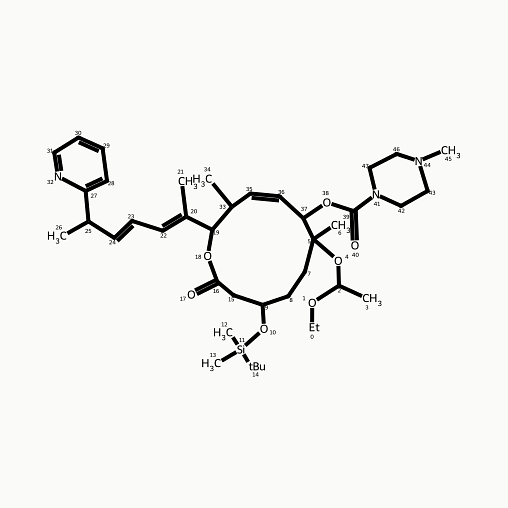 CCOC(C)OC1(C)CCC(O[Si](C)(C)C(C)(C)C)CC(=O)OC(C(C)=CC=CC(C)c2ccccn2)C(C)C=CC1OC(=O)N1CCN(C)CC1